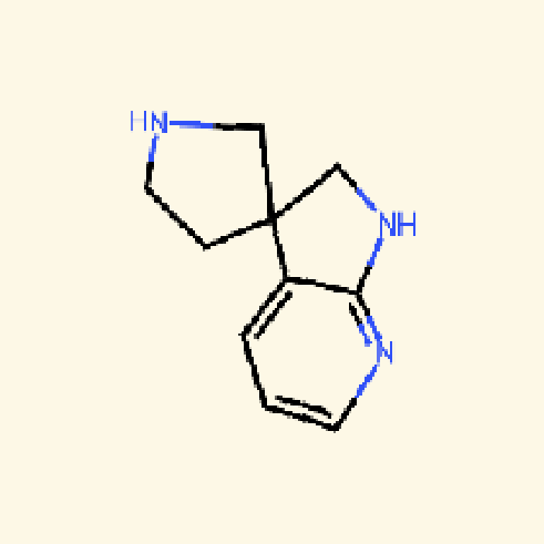 c1cnc2c(c1)C1(CCNC1)CN2